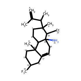 C=C(C)C(C)C1(C)CCC2C3(C)CCC(C(F)(F)F)CC3=CCC2(N)C1CC